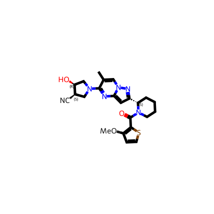 COc1ccsc1C(=O)N1CCCC[C@H]1c1cc2nc(N3C[C@@H](C#N)[C@@H](O)C3)c(C)cn2n1